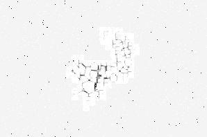 Oc1cncnc1C1(OC(F)(F)C(F)(F)OC(F)(F)C(F)(F)OC(F)(F)C(F)(F)C(F)(F)C(F)(F)F)CC(F)=C(F)C(F)=C1F